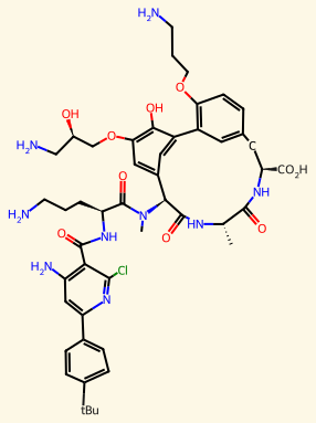 C[C@@H]1NC(=O)[C@@H](N(C)C(=O)[C@H](CCCN)NC(=O)c2c(N)cc(-c3ccc(C(C)(C)C)cc3)nc2Cl)c2cc(OC[C@H](O)CN)c(O)c(c2)-c2cc(ccc2OCCCN)C[C@@H](C(=O)O)NC1=O